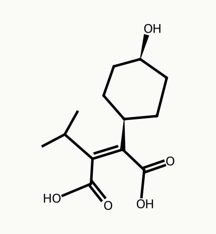 CC(C)/C(C(=O)O)=C(/C(=O)O)[C@H]1CC[C@@H](O)CC1